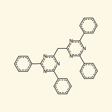 c1ccc(-c2nc(Cc3nc(-c4ccccc4)nc(-c4ccccc4)n3)nc(-c3ccccc3)n2)cc1